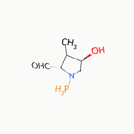 CC1[C@@H](C=O)N(P)C[C@@H]1O